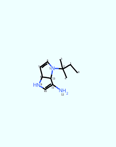 CCC(C)(C)N1C=CC2NC=C(N)C21